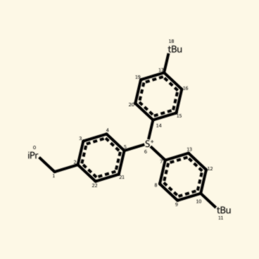 CC(C)Cc1ccc([S+](c2ccc(C(C)(C)C)cc2)c2ccc(C(C)(C)C)cc2)cc1